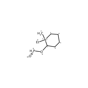 CC[N+]1(C)CCCCC1O[PH2]=O